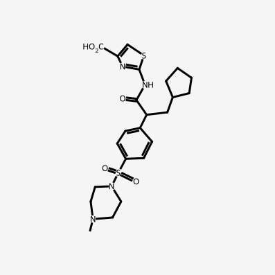 CN1CCN(S(=O)(=O)c2ccc(C(CC3CCCC3)C(=O)Nc3nc(C(=O)O)cs3)cc2)CC1